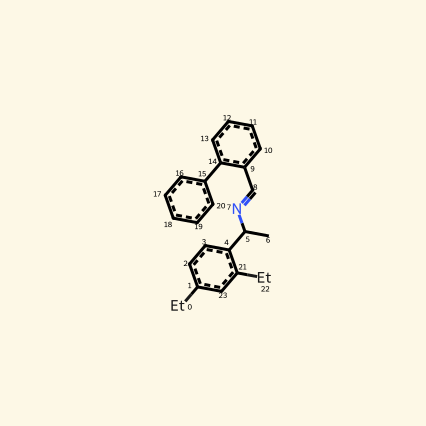 CCc1ccc(C(C)/N=C/c2ccccc2-c2ccccc2)c(CC)c1